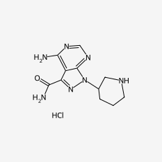 Cl.NC(=O)c1nn(C2CCCNC2)c2ncnc(N)c12